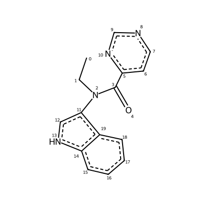 CCN(C(=O)c1ccncn1)c1c[nH]c2ccccc12